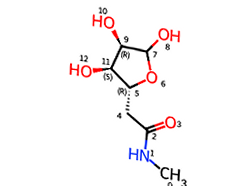 CNC(=O)C[C@H]1OC(O)[C@H](O)[C@@H]1O